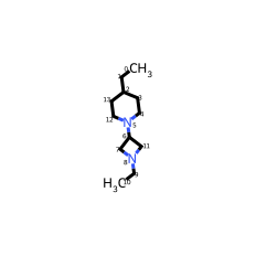 CCC1CCN(C2CN(CC)C2)CC1